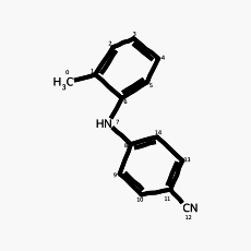 Cc1ccccc1Nc1ccc(C#N)cc1